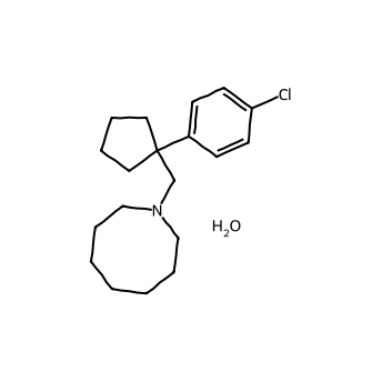 Clc1ccc(C2(CN3CCCCCCC3)CCCC2)cc1.O